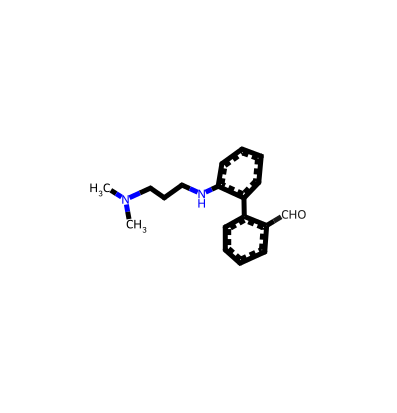 CN(C)CCCNc1ccccc1-c1ccccc1C=O